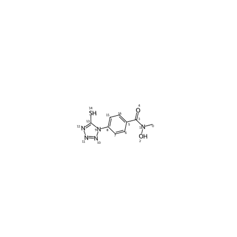 CN(O)C(=O)c1ccc(-n2nnnc2S)cc1